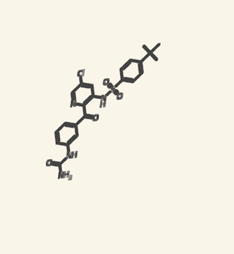 CC(C)(C)c1ccc(S(=O)(=O)Nc2cc(Cl)cnc2C(=O)c2cccc(NC(N)=O)c2)cc1